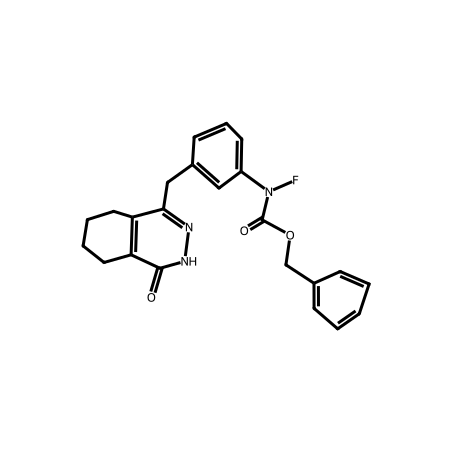 O=C(OCc1ccccc1)N(F)c1cccc(Cc2n[nH]c(=O)c3c2CCCC3)c1